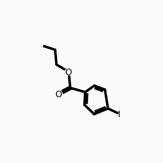 CCCOC(=O)c1ccc(I)cc1